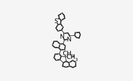 CC1(C)c2c(cccc2-c2ccc(-c3nc(-c4ccccc4)cc(-c4ccc5sc6ccccc6c5c4)n3)c3ccccc23)-c2ccc3ccccc3c21